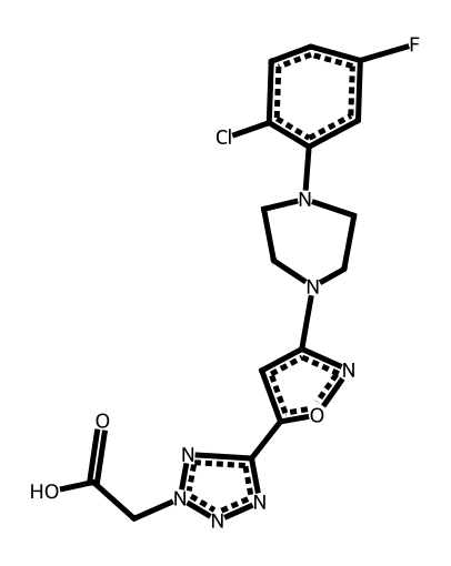 O=C(O)Cn1nnc(-c2cc(N3CCN(c4cc(F)ccc4Cl)CC3)no2)n1